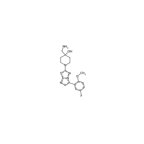 COc1ccc(F)cc1-c1cnc2sc(N3CCC(O)(CN)CC3)nn12